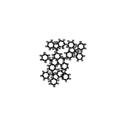 c1ccc(-c2ccc3c(c2)B2c4cc([Si](c5ccccc5)(c5ccccc5)c5ccccc5)ccc4N(c4ccccc4)c4cc(-n5c6ccccc6c6ccccc65)cc(c42)N3c2ccc([Si](c3ccccc3)(c3ccccc3)c3ccccc3)cc2)cc1